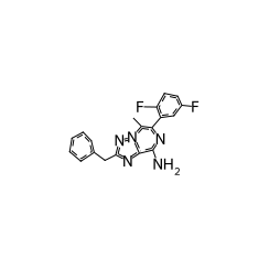 Cc1c(-c2cc(F)ccc2F)nc(N)c2nc(Cc3ccccc3)nn12